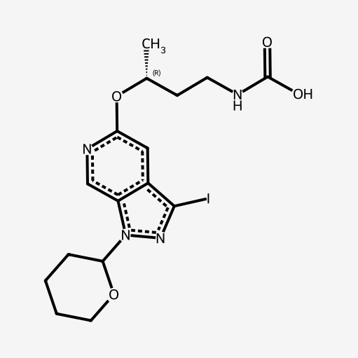 C[C@H](CCNC(=O)O)Oc1cc2c(I)nn(C3CCCCO3)c2cn1